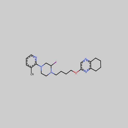 N#Cc1cccnc1N1CCN(CCCCOc2cnc3c(n2)CCCC3)C(I)C1